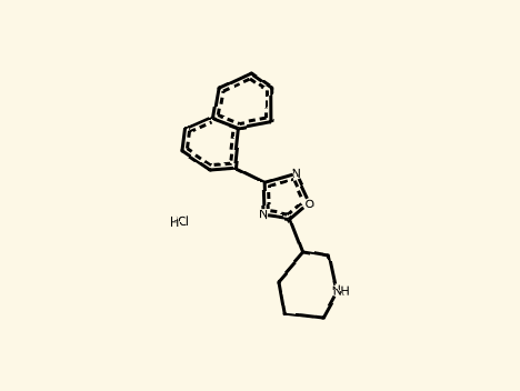 Cl.c1ccc2c(-c3noc(C4CCCNC4)n3)cccc2c1